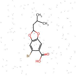 CC(C)CC1Oc2cc(Br)c(C(=O)O)cc2O1